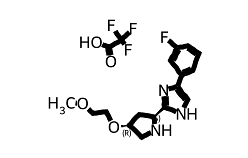 COCCO[C@H]1CN[C@H](c2nc(-c3cccc(F)c3)c[nH]2)C1.O=C(O)C(F)(F)F